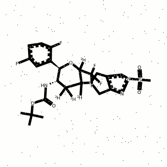 [2H]C1([2H])[C@H](NC(=O)OC(C)(C)C)[C@@H](c2cc(F)ccc2F)OC([2H])(C(F)(F)F)C1([2H])N1Cc2cn(S(C)(=O)=O)nc2C1